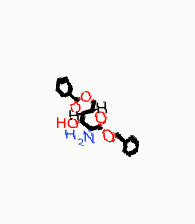 N[C@H]1[C@H](OCc2ccccc2)O[C@@H]2COC(c3ccccc3)O[C@H]2[C@@H]1O